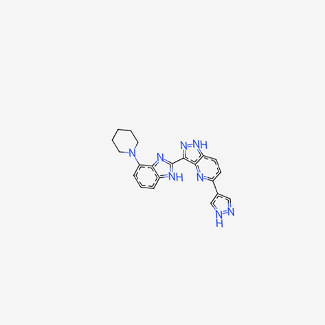 c1cc(N2CCCCC2)c2nc(-c3n[nH]c4ccc(-c5cn[nH]c5)nc34)[nH]c2c1